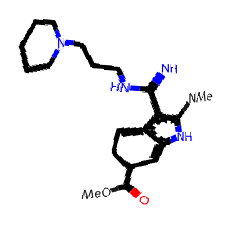 CNc1[nH]c2c(c1C(=N)NCCCN1CCCCC1)=CCC(C(=O)OC)C=2